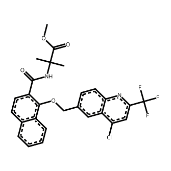 COC(=O)C(C)(C)NC(=O)c1ccc2ccccc2c1OCc1ccc2nc(C(F)(F)F)cc(Cl)c2c1